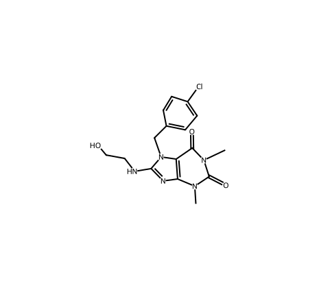 Cn1c(=O)c2c(nc(NCCO)n2Cc2ccc(Cl)cc2)n(C)c1=O